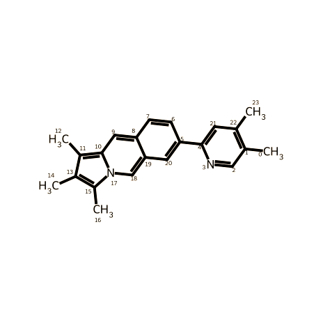 Cc1cnc(-c2ccc3cc4c(C)c(C)c(C)n4cc3c2)cc1C